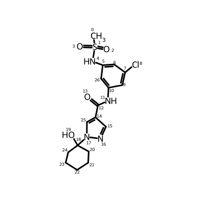 CS(=O)(=O)Nc1cc(Cl)cc(NC(=O)c2cnn(C3(O)CCCCC3)c2)c1